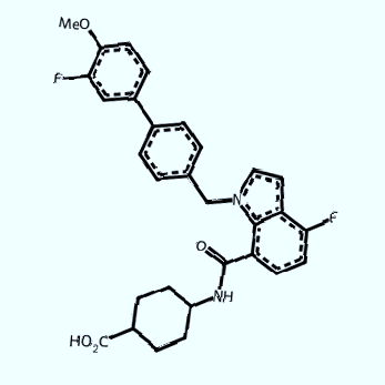 COc1ccc(-c2ccc(Cn3ccc4c(F)ccc(C(=O)NC5CCC(C(=O)O)CC5)c43)cc2)cc1F